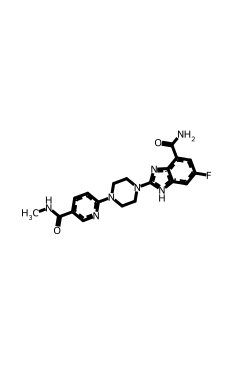 CNC(=O)c1ccc(N2CCN(c3nc4c(C(N)=O)cc(F)cc4[nH]3)CC2)nc1